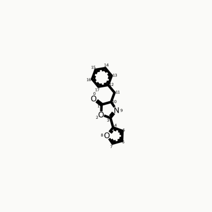 O=C1OC(c2ccco2)=NC1Cc1ccccc1